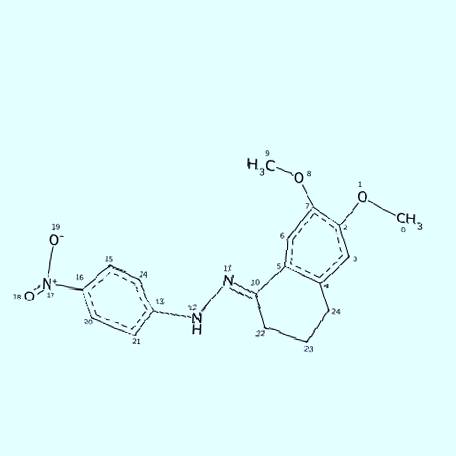 COc1cc2c(cc1OC)C(=NNc1ccc([N+](=O)[O-])cc1)CCC2